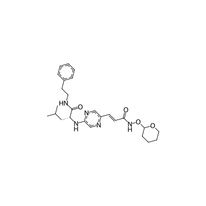 CC(C)C[C@@H](Nc1cnc(/C=C/C(=O)NOC2CCCCO2)cn1)C(=O)NCCc1ccccc1